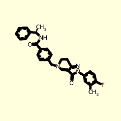 Cc1cc(N2N=C3CCN(Cc4ccc(C(=O)N[C@H](C)c5ccccc5)cc4)C=C3C2=O)ccc1F